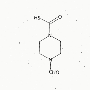 O=CN1CCN(C(=O)S)CC1